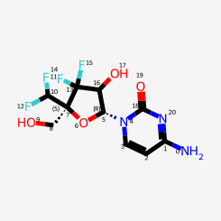 Nc1ccn([C@@H]2O[C@@](CO)(C(F)F)C(F)(F)C2O)c(=O)n1